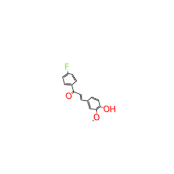 COc1cc(/C=C/C(=O)c2ccc(F)cc2)ccc1O